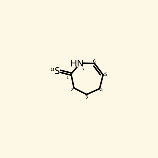 S=C1CCCC=CN1